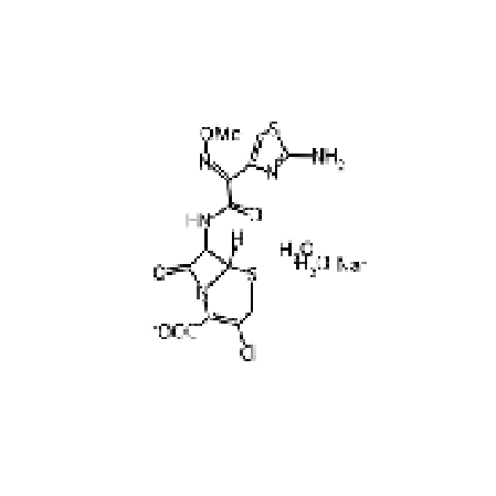 CON=C(C(=O)NC1C(=O)N2C(C(=O)[O-])=C(Cl)CS[C@@H]12)c1csc(N)n1.O.O.[Na+]